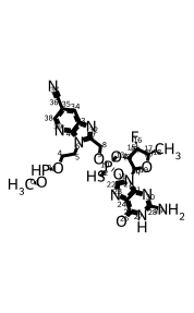 COPOCCn1c(COP(=O)(S)O[C@@H]2[C@H](F)[C@@H](C)O[C@H]2n2cnc3c(=O)[nH]c(N)nc32)nc2cc(C#N)cnc21